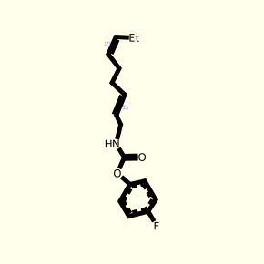 CC/C=C\CC/C=C/CNC(=O)Oc1ccc(F)cc1